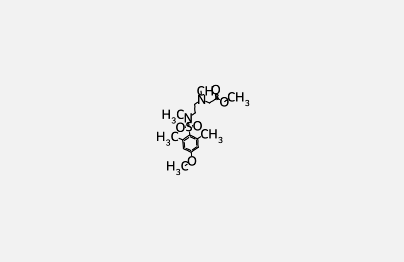 COC(=O)CN(C)CCN(C)S(=O)(=O)c1c(C)cc(OC)cc1C